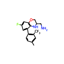 Cc1ccc(-c2cc(F)cc3c2NC(CN)CO3)c(C(F)(F)F)c1